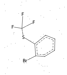 FC(F)(F)Sc1ccccc1Br